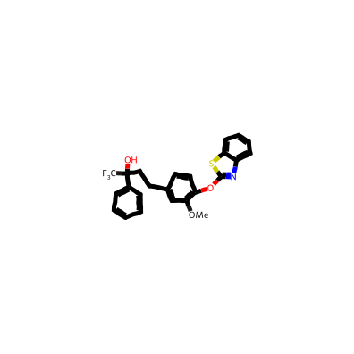 COc1cc(CCC(O)(c2ccccc2)C(F)(F)F)ccc1Oc1nc2ccccc2s1